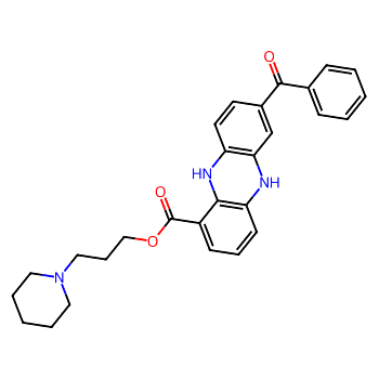 O=C(c1ccccc1)c1ccc2c(c1)Nc1cccc(C(=O)OCCCN3CCCCC3)c1N2